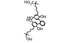 CC(C)(CO)CCCCC1=CC(O)C=C(c2ccccc2C2=CC(O)C=C(CCCCC(C)(C)C(=O)O)C2O)C1O